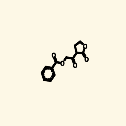 O=C(OCC(=O)C1CCOC1=O)c1ccccc1